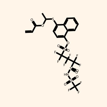 C=CC(=O)OC(C)Sc1ccc(OS(=O)(=O)C(F)(F)C(F)(F)C(F)(F)S(=O)(=O)NS(=O)(=O)C(F)(F)F)c2ccccc12